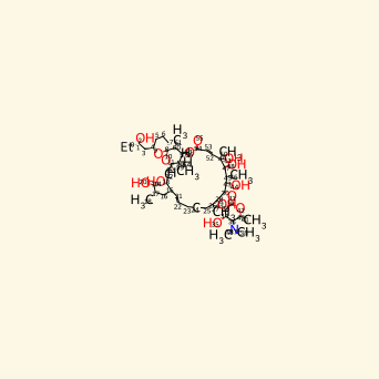 CC[C@H](O)C[C@H]1CCC[C@@]2(O1)O[C@H]1C[C@H](O)[C@H](C[C@H](C)CO)/C=C/CCC[C@H](C)[C@@H](O)[C@@H](O[C@H]3C[C@H](O)[C@H](N(C)C)[C@H](C)O3)[C@H](O)[C@H](C)[C@H](O)[C@](C)(O)/C=C\C(=O)O[C@@H]([C@H]1C)[C@H]2C